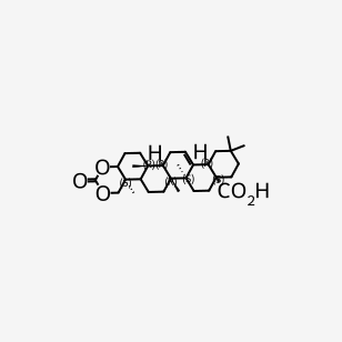 CC1(C)CC[C@]2(C(=O)O)CC[C@]3(C)C(=CC[C@@H]4[C@@]5(C)CCC6OC(=O)OC[C@]6(C)C5CC[C@]43C)[C@H]2C1